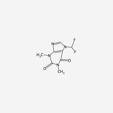 Cn1c(=O)c2c(ncn2C(F)F)n(C)c1=O